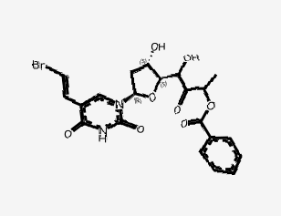 CC(OC(=O)c1ccccc1)C(=O)C(O)[C@H]1O[C@@H](n2cc(C=CBr)c(=O)[nH]c2=O)C[C@@H]1O